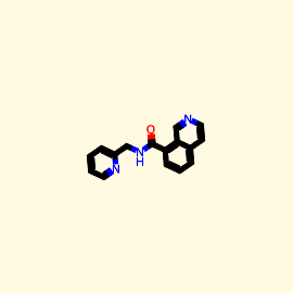 O=C(NCc1ccccn1)c1cccc2ccncc12